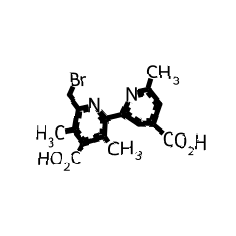 Cc1cc(C(=O)O)cc(-c2nc(CBr)c(C)c(C(=O)O)c2C)n1